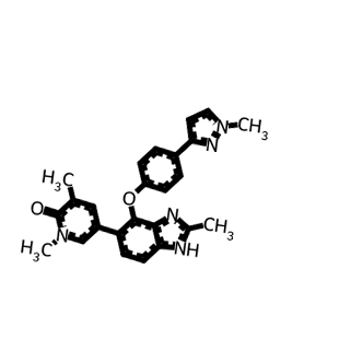 Cc1nc2c(Oc3ccc(-c4ccn(C)n4)cc3)c(-c3cc(C)c(=O)n(C)c3)ccc2[nH]1